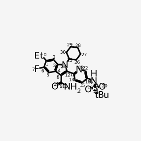 CCc1cc2c(cc1F)c(C(N)=O)c(-c1ccc(NS(=O)(=O)C(C)(C)C)cn1)n2C1CCCCC1